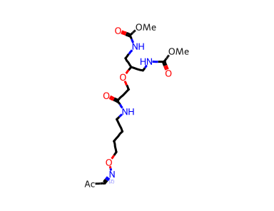 COC(=O)NCC(CNC(=O)OC)OCC(=O)NCCCCO/N=C\C(C)=O